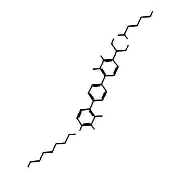 CCCCCCCCOc1ccc(-c2ccc(-c3ccc(C4COC(CCCCC)OC4)c(F)c3F)cc2)c(F)c1F